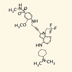 CNS(=O)(=O)c1ccc(NCC#Cc2cc3c(N[C@H]4CC[C@H](N(C)C)CC4)cccc3n2CC(F)(F)F)c(OC)c1